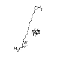 CCCCCCCCCCCCCCCC[NH+]1CCCC(C)C1.[F][Sb-]([F])([F])([F])([F])[F]